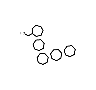 C1CCCCCC1.C1CCCCCC1.C1CCCCCC1.C1CCCCCC1.OCC1CCCCCC1